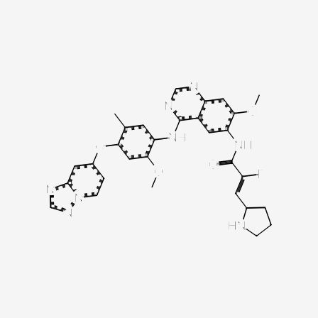 COc1cc2ncnc(Nc3cc(C)c(Oc4ccn5ncnc5c4)cc3OC)c2cc1NC(=O)C(F)=CC1CCCN1